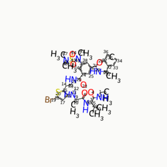 CCNC(=O)[C@@H](NC(=O)[C@H](C)NC[C@H](Cc1ccc(Br)s1)NC(=O)c1cc(C(=O)N[C@H](C)c2ccccc2)cc(N(C)S(=O)(=O)N(C)C)c1)C(C)C